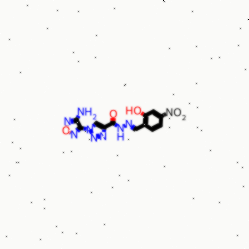 Nc1nonc1-n1cc(C(=O)NN=Cc2ccc([N+](=O)[O-])cc2O)nn1